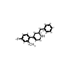 Cc1cc(F)ccc1C1=CCNC(Cc2ccccc2)C1